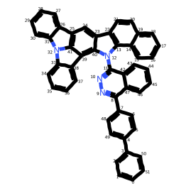 c1ccc(-c2ccc(-c3nnc(-n4c5c6ccccc6ccc5c5cc6c7ccccc7n7c8ccccc8c(c54)c67)c4ccccc34)cc2)cc1